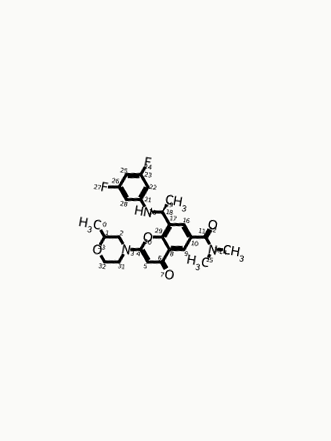 CC1CN(c2cc(=O)c3cc(C(=O)N(C)C)cc([C@H](C)Nc4cc(F)cc(F)c4)c3o2)CCO1